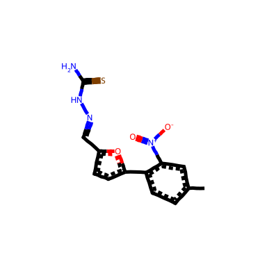 Cc1ccc(-c2ccc(C=NNC(N)=S)o2)c([N+](=O)[O-])c1